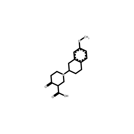 COc1ccc2c(c1)CC(N1CCC(=O)C(C(=O)O)C1)CC2